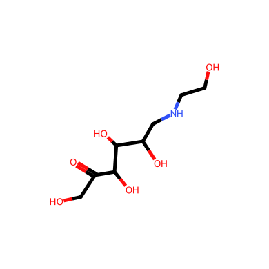 O=C(CO)C(O)C(O)C(O)CNCCO